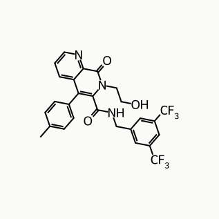 Cc1ccc(-c2c(C(=O)NCc3cc(C(F)(F)F)cc(C(F)(F)F)c3)n(CCO)c(=O)c3ncccc23)cc1